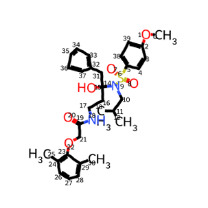 COc1ccc(S(=O)(=O)N(CC(C)C)C(O)(CCNC(=O)COc2c(C)cccc2C)Cc2ccccc2)cc1